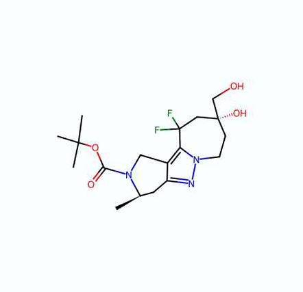 C[C@@H]1Cc2nn3c(c2CN1C(=O)OC(C)(C)C)C(F)(F)C[C@@](O)(CO)CC3